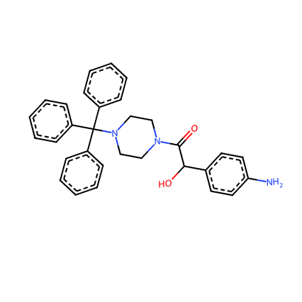 Nc1ccc(C(O)C(=O)N2CCN(C(c3ccccc3)(c3ccccc3)c3ccccc3)CC2)cc1